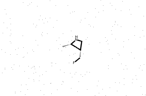 C[C@@H]1NC[C@@H]1CF